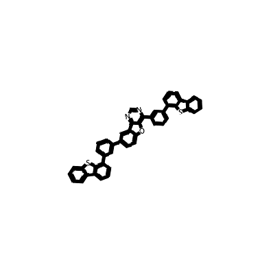 c1cc(-c2ccc3oc4c(-c5cccc(-c6cccc7c6sc6ccccc67)c5)ncnc4c3c2)cc(-c2cccc3c2sc2ccccc23)c1